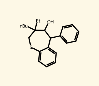 CCCCC1(CC)CSc2ccccc2C(c2ccccc2)C1O